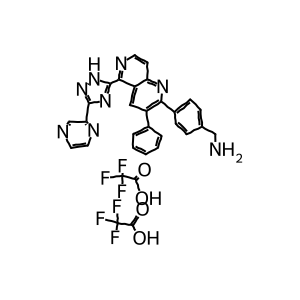 NCc1ccc(-c2nc3ccnc(-c4nc(-c5cnccn5)n[nH]4)c3cc2-c2ccccc2)cc1.O=C(O)C(F)(F)F.O=C(O)C(F)(F)F